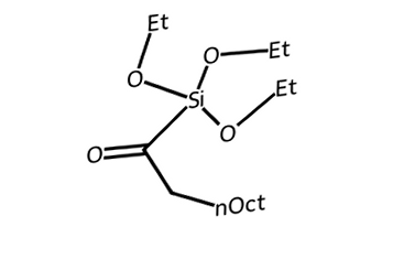 CCCCCCCCCC(=O)[Si](OCC)(OCC)OCC